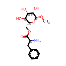 CO[C@H]1O[C@H](COC(=O)[C@@H](N)Cc2ccccc2)[C@@H](O)[C@H](O)[C@@H]1O